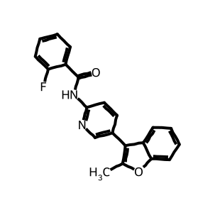 Cc1oc2ccccc2c1-c1ccc(NC(=O)c2ccccc2F)nc1